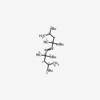 CCCCC(C)CC(C#N)(CCCC)N=NC(C#N)(CCCC)CC(C)CCCC